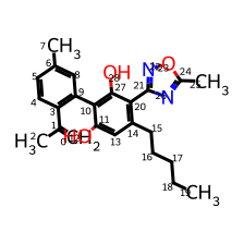 C=C(C)c1ccc(C)cc1-c1c(O)cc(CCCCC)c(-c2noc(C)n2)c1O